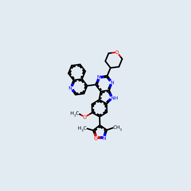 COc1cc2c(cc1-c1c(C)noc1C)[nH]c1nc(C3CCOCC3)nc(-c3ccnc4ccccc34)c12